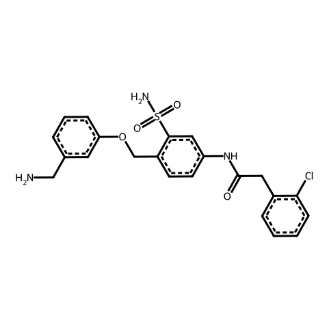 NCc1cccc(OCc2ccc(NC(=O)Cc3ccccc3Cl)cc2S(N)(=O)=O)c1